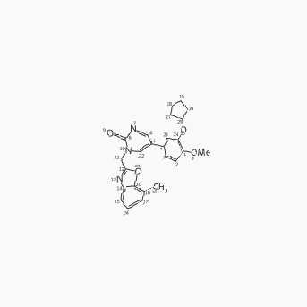 COc1ccc(-c2cnc(=O)n(Cc3nc4cccc(C)c4o3)c2)cc1OC1CCCC1